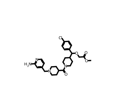 COC(=O)COC(c1ccc(Cl)cc1)C1CCN(C(=O)C2CCN(Cc3ccnc(N)c3)CC2)CC1